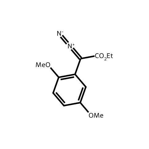 CCOC(=O)C(=[N+]=[N-])c1cc(OC)ccc1OC